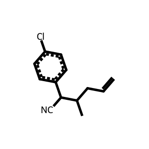 C=CCC(C)C(C#N)c1ccc(Cl)cc1